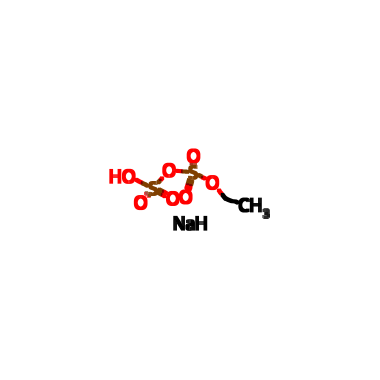 CCOS(=O)(=O)OS(=O)(=O)O.[NaH]